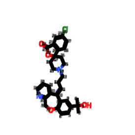 CC(C)(O)c1ccc2c(c1)/C(=C/CCN1CCC3(CC1)OC(=O)c1cc(Cl)ccc13)c1cccnc1CO2